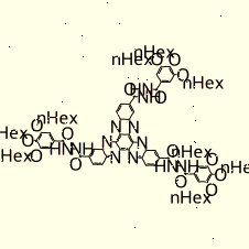 CCCCCCOc1cc(C(=O)NNC(=O)c2ccc3nc4c5nc6ccc(C(=O)NNC(=O)c7cc(OCCCCCC)c(OCCCCCC)c(OCCCCCC)c7)cc6nc5c5nc6cc(C(=O)NNC(=O)c7cc(OCCCCCC)c(OCCCCCC)c(OCCCCCC)c7)ccc6nc5c4nc3c2)cc(OCCCCCC)c1OCCCCCC